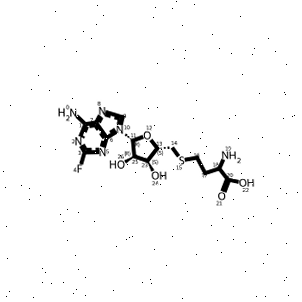 Nc1nc(F)nc2c1ncn2[C@@H]1O[C@H](CSCCC(N)C(=O)O)[C@@H](O)[C@H]1O